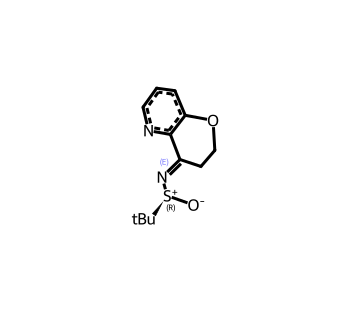 CC(C)(C)[S@+]([O-])/N=C1\CCOc2cccnc21